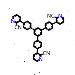 N#Cc1ncccc1-c1ccc(-c2cc(-c3ccc(-c4cccnc4C#N)cc3)cc(-c3ccc(-c4cccnc4C#N)cc3)c2)cc1